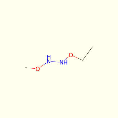 CCONNOC